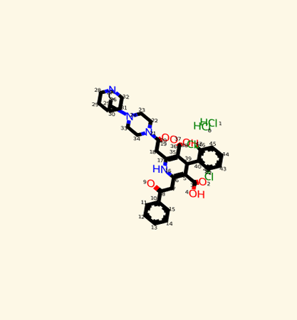 Cl.Cl.O=C(O)C1=C(CC(=O)c2ccccc2)NC(CC(=O)N2CCN(C3CN4CCC3CC4)CC2)=C(C(=O)O)C1c1c(Cl)cccc1Cl